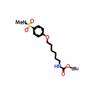 CNS(=O)(=O)c1ccc(OCCCCCCNC(=O)OC(C)(C)C)cc1